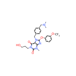 CN(C)Cc1ccc(Cn2c(Oc3cccc(OC(F)(F)F)c3)nc3c2c(=O)n(CCCO)c(=O)n3C)cc1